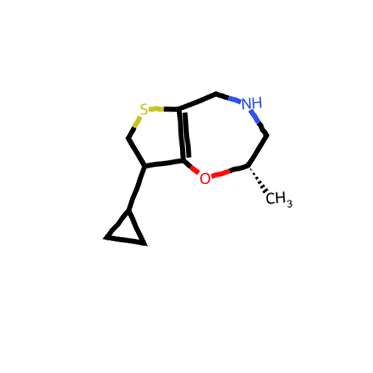 C[C@H]1CNCC2=C(O1)C(C1CC1)CS2